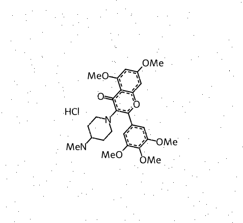 CNC1CCN(c2c(-c3cc(OC)c(OC)c(OC)c3)oc3cc(OC)cc(OC)c3c2=O)CC1.Cl